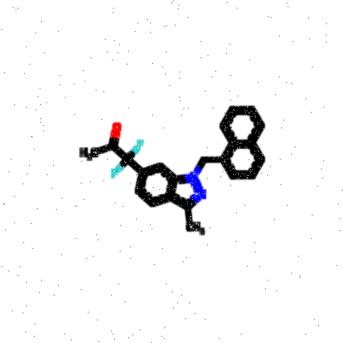 CC(=O)C(F)(F)c1ccc2c(C)nn(Cc3cccc4ccccc34)c2c1